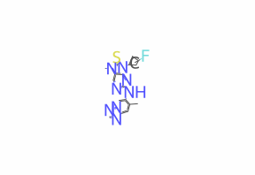 Cc1cc2ncnn2cc1Nc1ncc2c(n1)n(C13CC(F)(C1)C3)c(=S)n2C